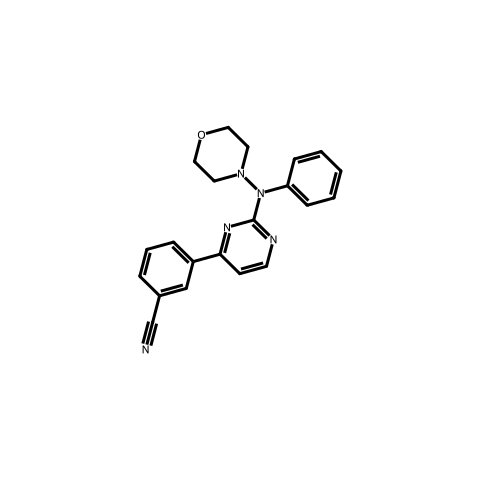 N#Cc1cccc(-c2ccnc(N(c3ccccc3)N3CCOCC3)n2)c1